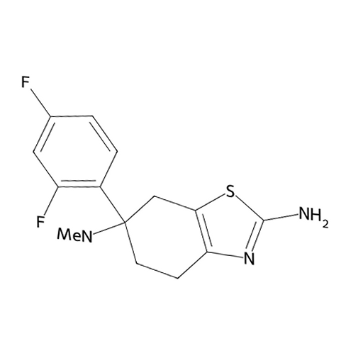 CNC1(c2ccc(F)cc2F)CCc2nc(N)sc2C1